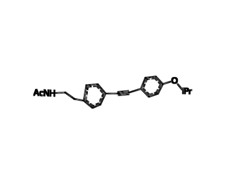 CC(=O)NCCc1ccc(C#Cc2ccc(OC(C)C)cc2)cc1